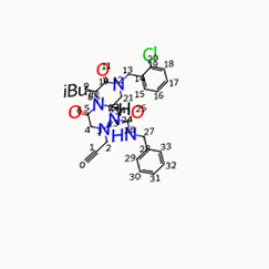 C#CCN1CC(=O)N2[C@@H](C(C)CC)C(=O)N(Cc3ccccc3Cl)C[C@@H]2N1C(=O)NCc1ccccc1